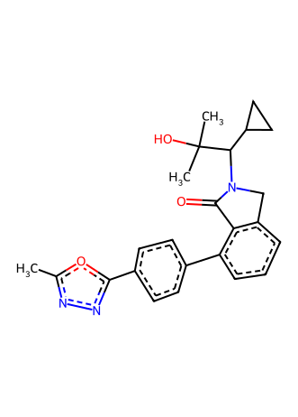 Cc1nnc(-c2ccc(-c3cccc4c3C(=O)N(C(C3CC3)C(C)(C)O)C4)cc2)o1